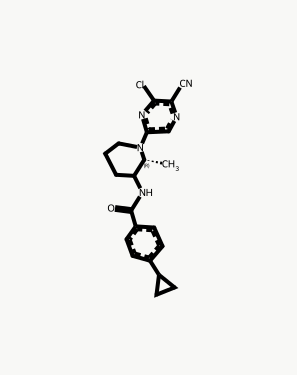 C[C@@H]1C(NC(=O)c2ccc(C3CC3)cc2)CCCN1c1cnc(C#N)c(Cl)n1